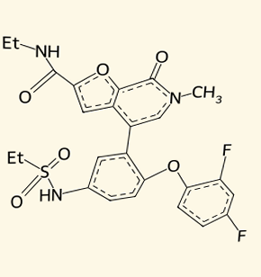 CCNC(=O)c1cc2c(-c3cc(NS(=O)(=O)CC)ccc3Oc3ccc(F)cc3F)cn(C)c(=O)c2o1